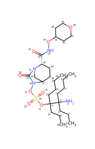 CCCCC(N)(CCC)C(CCC)(CCCC)OS(=O)(=O)ON1C(=O)N2CC1CC[C@H]2C(=O)NOC1CCOCC1